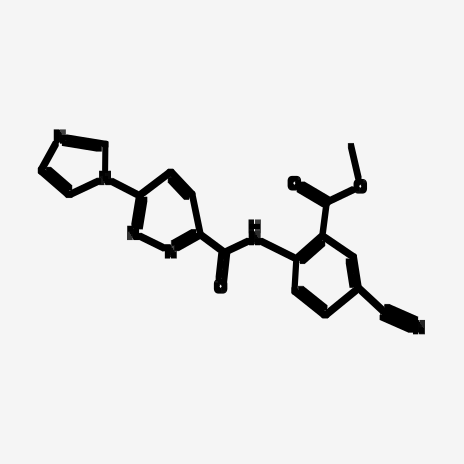 COC(=O)c1cc(C#N)ccc1NC(=O)c1ccc(-n2ccnc2)nn1